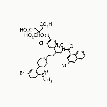 CN(C[C@@H](CCN1CCC(c2cc(Br)ccc2[S+](C)[O-])CC1)c1ccc(Cl)c(Cl)c1)C(=O)c1cc(C#N)cc2ccccc12.O=C(O)CC(O)(CC(=O)O)C(=O)O